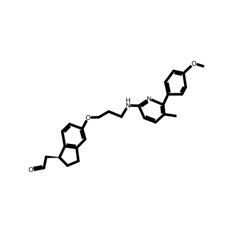 COc1ccc(-c2nc(NCCCOc3ccc4c(c3)CC[C@H]4CC=O)ccc2C)cc1